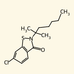 CCCCCC(C)(C)n1sc2cc(Cl)ccc2c1=O